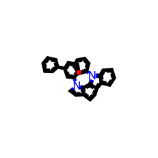 c1ccc(-c2cccc(-n3ccc4ccc5c6ccccc6n(-c6ccccc6)c5c43)c2)cc1